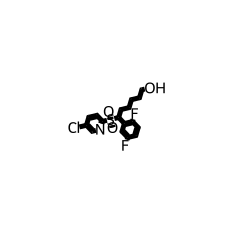 O=S(=O)(c1ccc(Cl)cn1)C(CCCCCO)c1cc(F)ccc1F